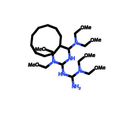 COCN(COC)C(N)NC(NC(C1CCCCCCCCC1)N(COC)COC)N(COC)COC